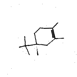 CC1=C(C)C[C@](C)(C(C)(C)O)CC1